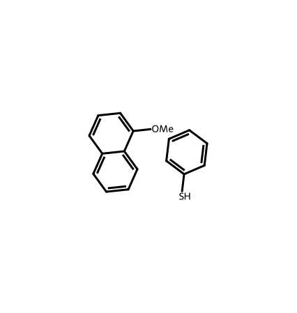 COc1cccc2ccccc12.Sc1ccccc1